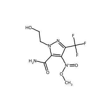 CO[N+](=O)c1c(C(F)(F)F)nn(CCO)c1C(N)=O